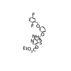 CCOC(=O)Oc1cnc(N)c2c(COc3cccc(OCc4cc(F)ccc4F)c3)csc12